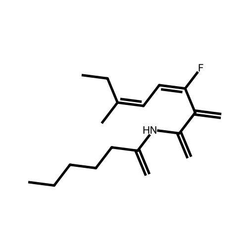 C=C(CCCCC)NC(=C)C(=C)/C(F)=C\C=C(\C)CC